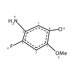 COc1cc(F)c(N)cc1Cl